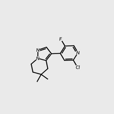 CC1(C)CCn2ncc(-c3cc(Cl)ncc3F)c2C1